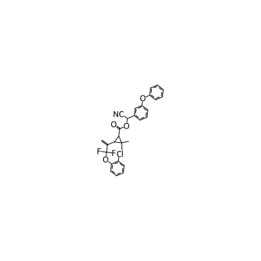 C=C(C1C(C(=O)OC(C#N)c2cccc(Oc3ccccc3)c2)C1(C)C)C(F)(F)Oc1ccccc1Cl